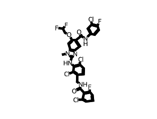 Cn1c(Nc2c(Cl)ccc(CNC(=O)c3c(F)cccc3Cl)c2Cl)nc2cc(C(=O)Nc3ccc(F)c(Cl)c3)c(OCC(F)F)cc21